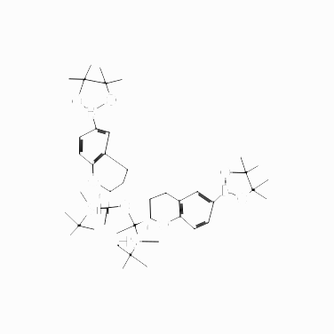 C[SiH](C(C)(C)C)C(C)(OC(C)([C@H]1CCc2cc(B3OC(C)(C)C(C)(C)O3)ccc2O1)[SiH](C)C(C)(C)C)[C@H]1CCc2cc(B3OC(C)(C)C(C)(C)O3)ccc2O1